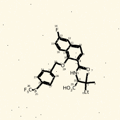 CCC(C)(C)[C@H](NC(=O)c1ccc2cc(F)ccc2c1OCc1ccc(SC(F)(F)F)cc1)C(=O)O